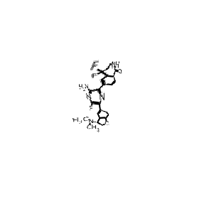 CN(C)[C@@H]1COc2ccc(-c3nc(-c4ccc5c(c4)C(F)(F)CNC5=O)c(N)nc3F)cc21